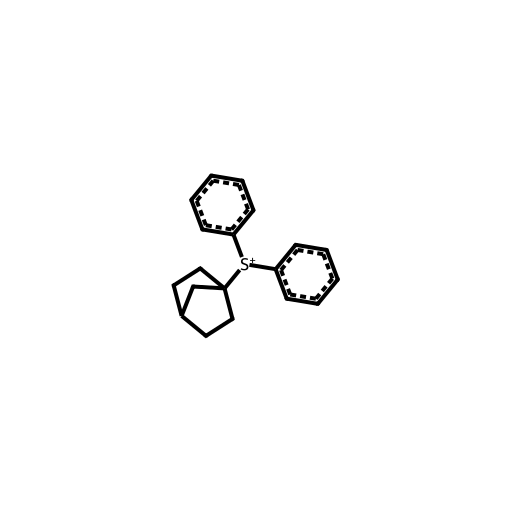 c1ccc([S+](c2ccccc2)C23CCC(CC2)C3)cc1